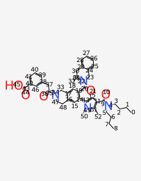 CCCCN(CCCC)C(=O)c1cc(-c2cc3c(cc2C(=O)N2Cc4ccccc4C[C@H]2C)CN(C(=O)Cc2cccc(C(=O)O)c2)CC3)n(C)c1C